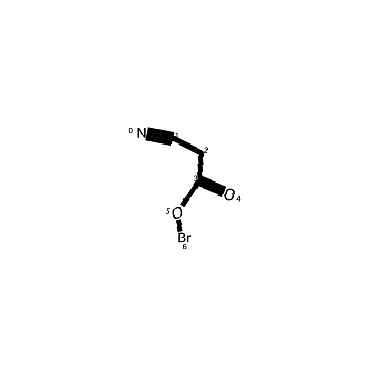 N#CCC(=O)OBr